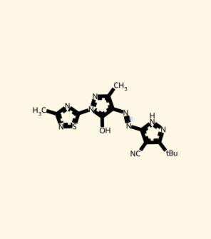 Cc1nsc(-n2nc(C)c(/N=N/c3[nH]nc(C(C)(C)C)c3C#N)c2O)n1